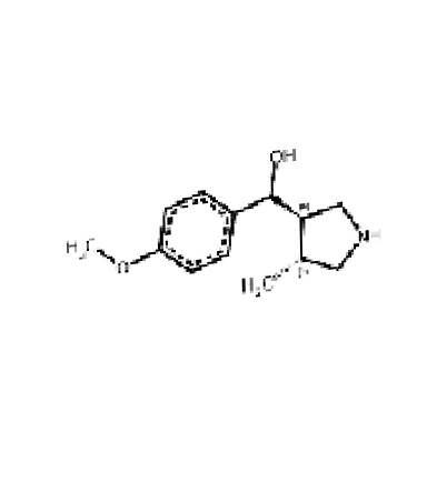 COc1ccc(C(O)[C@H]2CNC[C@@H]2C)cc1